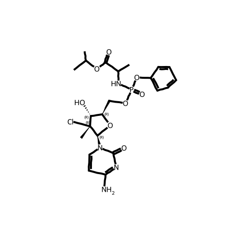 CC(C)OC(=O)C(C)NP(=O)(OC[C@H]1O[C@@H](n2ccc(N)nc2=O)[C@](C)(Cl)[C@@H]1O)Oc1ccccc1